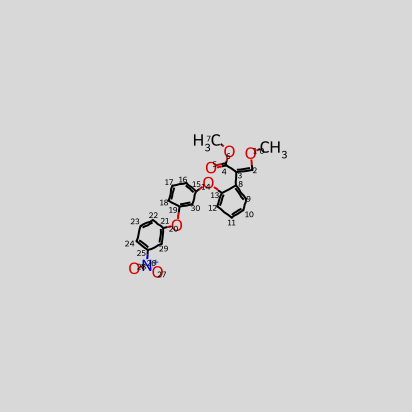 COC=C(C(=O)OC)c1ccccc1Oc1cccc(Oc2cccc([N+](=O)[O-])c2)c1